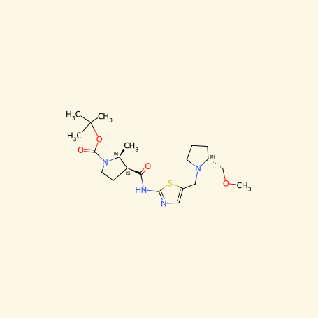 COC[C@H]1CCCN1Cc1cnc(NC(=O)[C@H]2CCN(C(=O)OC(C)(C)C)[C@H]2C)s1